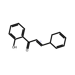 O=C(/C=C/C1C=CC=CC1)c1ccccc1O